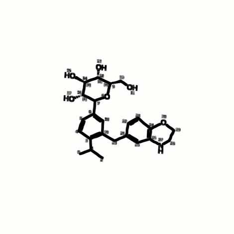 CC(C)c1ccc(C2O[C@H](CO)[C@@H](O)[C@H](O)[C@H]2O)cc1Cc1ccc2c(c1)NCCO2